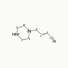 N#CC=CCN1CCNCC1